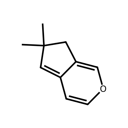 CC1(C)C=C2C=COC=C2C1